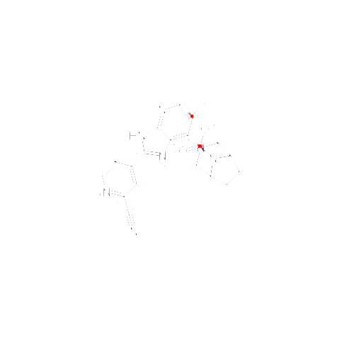 CC(C)(C)OC(=O)N1C2CCC1CN(c1ccnc3[nH]c(-c4ccnc(C#N)c4)nc13)C2